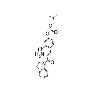 CC(C)COC(=O)Oc1ccc(C[C@@H](N)C(=O)N2CCc3ccccc32)c(Cl)c1